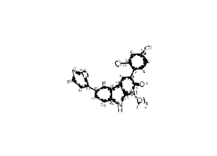 Cn1c(=O)c(-c2ccc(Cl)cc2Cl)cc2c3cc(-c4ccno4)ccc3[nH]c21